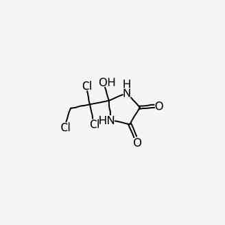 O=C1NC(O)(C(Cl)(Cl)CCl)NC1=O